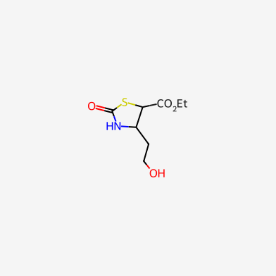 CCOC(=O)C1SC(=O)NC1CCO